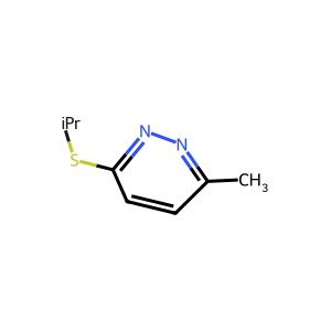 Cc1ccc(SC(C)C)nn1